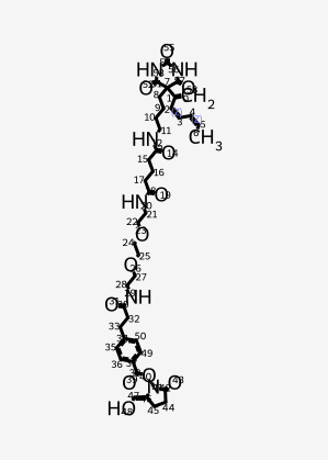 C=C(/C=C\C=C/C)C1(CCCCNC(=O)CCCC(=O)NCCOCCOCCNC(=O)CCc2ccc(C(=O)ON3C(=O)CCC3=CO)cc2)C(=O)NC(=O)NC1=O